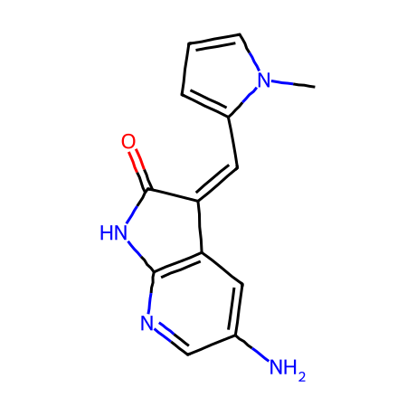 Cn1cccc1C=C1C(=O)Nc2ncc(N)cc21